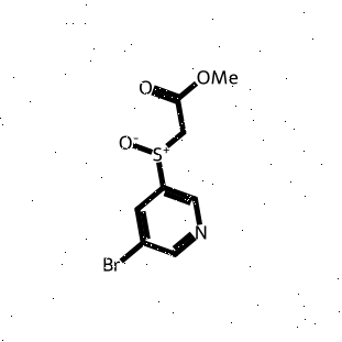 COC(=O)C[S+]([O-])c1cncc(Br)c1